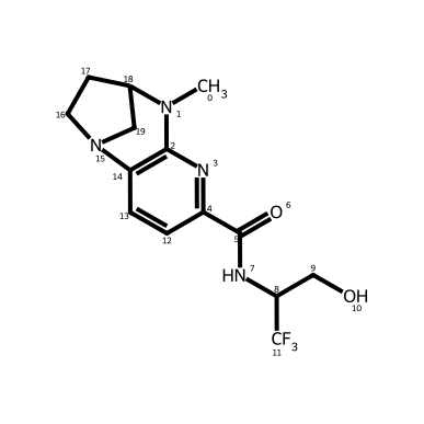 CN1c2nc(C(=O)NC(CO)C(F)(F)F)ccc2N2CCC1C2